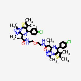 CC[C@@H](C(=O)NCCOCCNC(=O)[C@H](CC)[C@@H]1N=C(c2ccc(Cl)cc2)c2c(sc(C)c2C)-n2c(C)nnc21)[C@@H]1N=C(c2ccc(Cl)cc2)c2c(sc(C)c2C)-n2c(C)nnc21